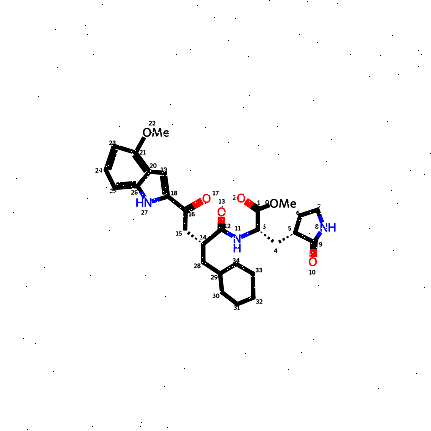 COC(=O)[C@H](C[C@@H]1CCNC1=O)NC(=O)[C@@H](CC(=O)c1cc2c(OC)cccc2[nH]1)CC1CCCCC1